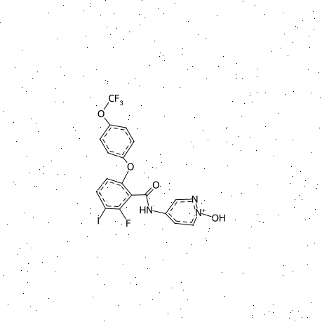 O=C(Nc1cc[n+](O)nc1)c1c(Oc2ccc(OC(F)(F)F)cc2)ccc(I)c1F